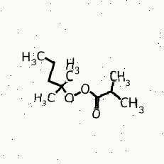 CCCC(C)(C)OOC(=O)C(C)C